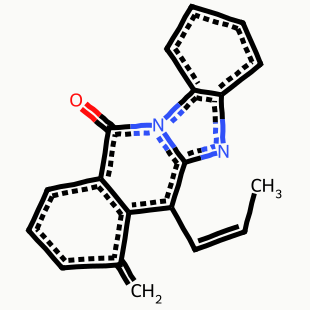 C=c1cccc2c(=O)n3c(nc4ccccc43)c(/C=C\C)c12